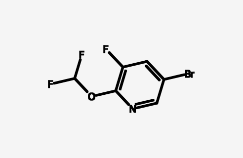 Fc1cc(Br)cnc1OC(F)F